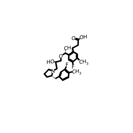 Cc1ccc(C[C@@H]2CCCN2C[C@@H](O)CO[C@H](C)c2cc(F)c(C)cc2CCC(=O)O)cc1F